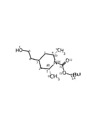 C[C@@H]1CC(CCO)C[C@H](C)N1C(=O)OC(C)(C)C